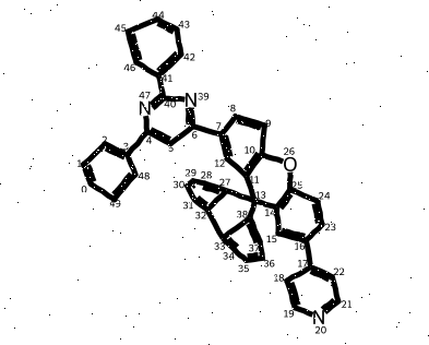 c1ccc(-c2cc(-c3ccc4c(c3)C3(c5cc(-c6ccncc6)ccc5O4)c4ccccc4-c4ccccc43)nc(-c3ccccc3)n2)cc1